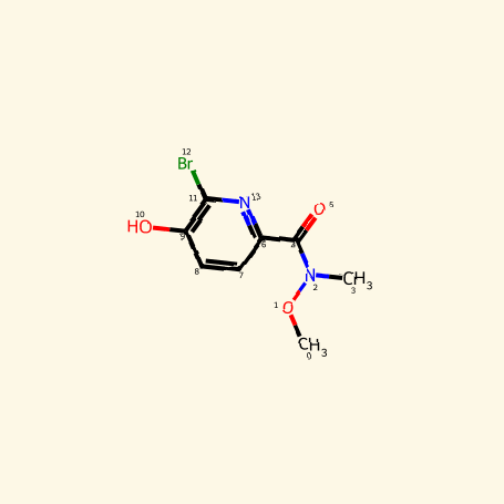 CON(C)C(=O)c1ccc(O)c(Br)n1